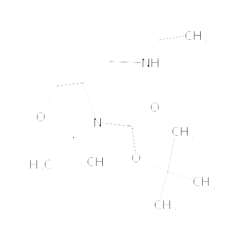 CCNCC1COC(C)(C)N1C(=O)OC(C)(C)C